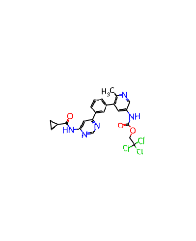 Cc1ncc(NC(=O)OCC(Cl)(Cl)Cl)cc1-c1cccc(-c2cc(NC(=O)C3CC3)ncn2)c1